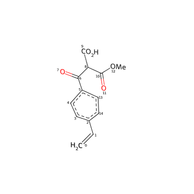 C=Cc1ccc(C(=O)C(C(=O)O)C(=O)OC)cc1